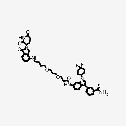 NC(=S)c1cccc(-c2cn(C3CCC(F)(F)CC3)c3cc(NC(=O)CCOCCCOCCCCNc4cccc5c4CN(C4CCC(=O)NC4=O)C5=O)ccc23)c1